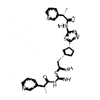 C[C@H](C(=O)Nc1nnc([C@@H]2CC[C@H](CC(=N)SC(=N)NC(=O)[C@H](C)c3cccnc3)C2)s1)c1cccnc1